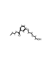 CCCCC(=O)c1cccc(OCCOCCO)c1